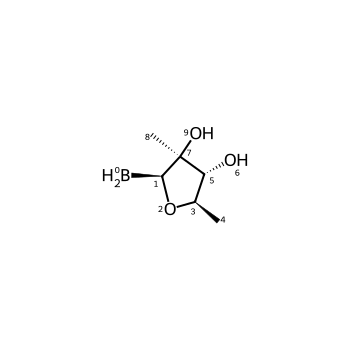 B[C@@H]1O[C@H](C)[C@@H](O)[C@]1(C)O